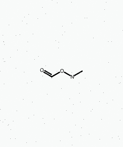 C[N]O[C]=O